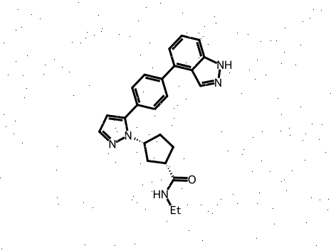 CCNC(=O)[C@H]1CC[C@@H](n2nccc2-c2ccc(-c3cccc4[nH]ncc34)cc2)C1